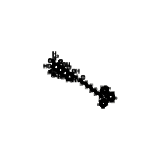 C[C@H]1c2ccc(CNC(=O)CCCCCCCCC[PH](c3ccccc3)(c3ccccc3)c3ccccc3)c(O)c2C(=O)C2=C(O)[C@]3(O)C(=O)C(C(N)=O)=C(O)[C@@H](N(C)C)[C@@H]3[C@@H](O)[C@@H]21